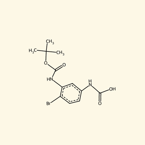 CC(C)(C)OC(=O)Nc1cc(NC(=O)O)ccc1Br